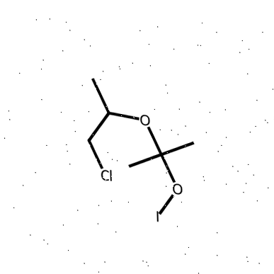 CC(CCl)OC(C)(C)OI